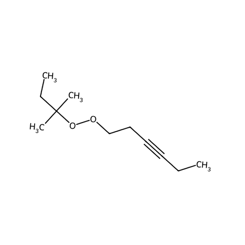 CCC#CCCOOC(C)(C)CC